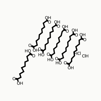 Cl.Cl.O=C(O)CCCCCCCCC(=O)O.O=C(O)CCCCCCCCC(=O)O.O=C(O)CCCCCCCCC(=O)O.O=C(O)CCCCCCCCC(=O)O.O=C(O)CCCCCCCCC(=O)O.O=C(O)CCCCCCCCC(=O)O